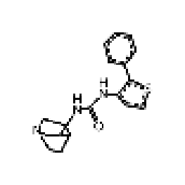 O=C(Nc1ccsc1-c1ccccc1)NC1CN2CCC1CC2